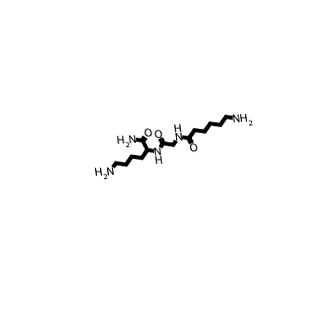 NCCCCCC(=O)NCC(=O)NC(CCCCN)C(N)=O